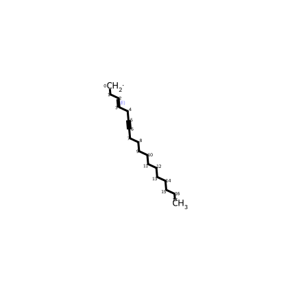 [CH2]C/C=C/CC#CCCCCCCCCCCC